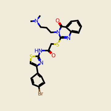 CN(C)CCCn1c(SCC(=O)Nc2nc(-c3ccc(Br)cc3)cs2)nc2ccccc2c1=O